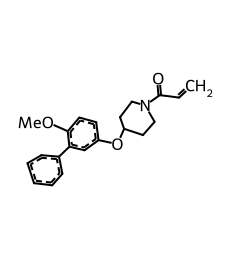 C=CC(=O)N1CCC(Oc2ccc(OC)c(-c3ccccc3)c2)CC1